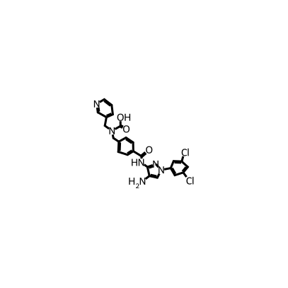 Nc1cn(-c2cc(Cl)cc(Cl)c2)nc1NC(=O)c1ccc(CN(Cc2cccnc2)C(=O)O)cc1